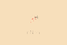 [CH2]C(COCCCCCCCCCCCCCCCC)OCC